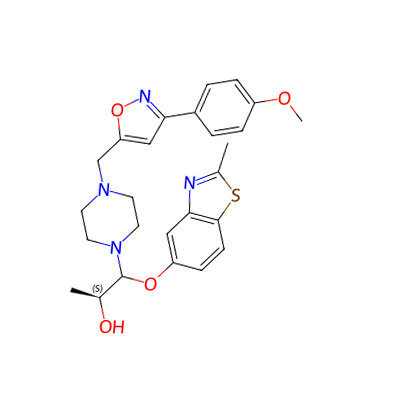 COc1ccc(-c2cc(CN3CCN(C(Oc4ccc5sc(C)nc5c4)[C@H](C)O)CC3)on2)cc1